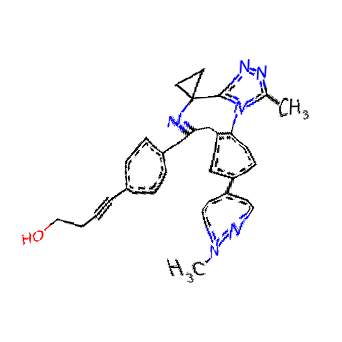 Cc1nnc2n1-c1ccc(-c3cnn(C)c3)cc1C(c1ccc(C#CCCO)cc1)=NC21CC1